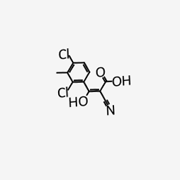 Cc1c(Cl)ccc(C(O)=C(C#N)C(=O)O)c1Cl